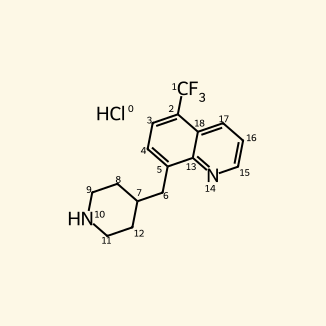 Cl.FC(F)(F)c1ccc(CC2CCNCC2)c2ncccc12